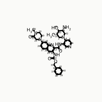 C[C@H]1CN(c2ccncc2NC(=O)c2nc3cc(N4CCN(C)C(=O)C4)ccc3cc2NC(=O)OCc2ccccc2)C[C@@H](N)C1O